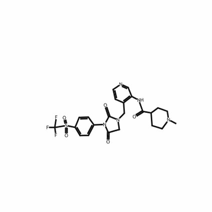 CN1CCC(C(=O)Nc2cnccc2CN2CC(=O)N(c3ccc(S(=O)(=O)C(F)(F)F)cc3)C2=O)CC1